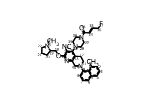 Cc1cccc2cccc(N3CCc4c(nc(OCC5CCCN5C)c(C#N)c4N4CCN(C(=O)C=CCF)CC4)C3)c12